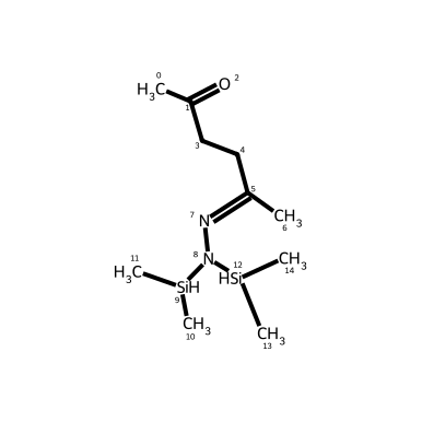 CC(=O)CCC(C)=NN([SiH](C)C)[SiH](C)C